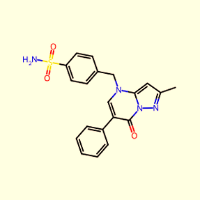 Cc1cc2n(Cc3ccc(S(N)(=O)=O)cc3)cc(-c3ccccc3)c(=O)n2n1